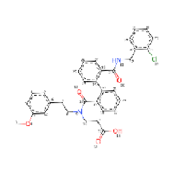 COc1cccc(CCN(CCC(=O)O)C(=O)c2ccccc2-c2ccccc2C(=O)NCc2ccccc2Cl)c1